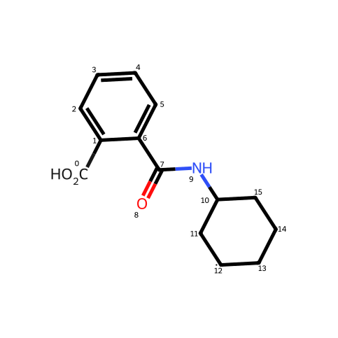 O=C(O)c1ccccc1C(=O)NC1C[CH]CCC1